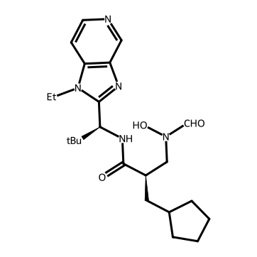 CCn1c([C@@H](NC(=O)[C@H](CC2CCCC2)CN(O)C=O)C(C)(C)C)nc2cnccc21